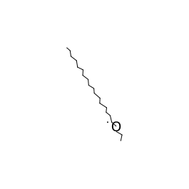 CCCCCCCCCCCCCCCC[CH]OCCC